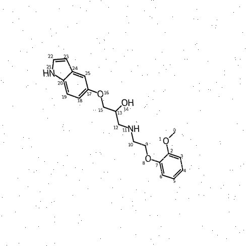 COc1ccccc1OCCNCC(O)COc1ccc2[nH]ccc2c1